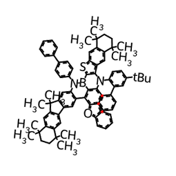 CC(C)(C)c1ccc(N2c3cc4c(oc5ccccc54)c4c3B(c3sc5cc6c(cc5c32)C(C)(C)CCC6(C)C)N(c2ccc(-c3ccccc3)cc2)c2cc3c(cc2-4)-c2cc4c(cc2C3(C)C)C(C)(C)CCC4(C)C)c(-c2ccccc2)c1